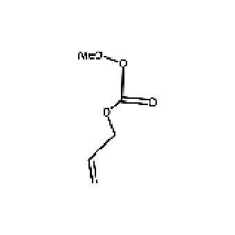 C=CCOC(=O)OOC